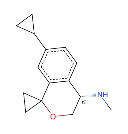 CN[C@@H]1COC2(CC2)c2cc(C3CC3)ccc21